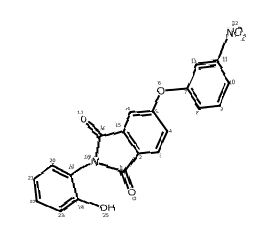 O=C1c2ccc(Oc3cccc([N+](=O)[O-])c3)cc2C(=O)N1c1ccccc1O